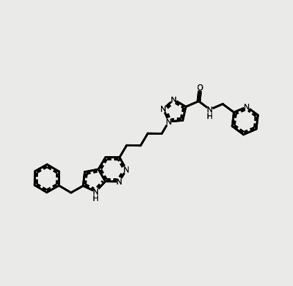 O=C(NCc1ccccn1)c1cn(CCCCc2cc3cc(Cc4ccccc4)[nH]c3nn2)nn1